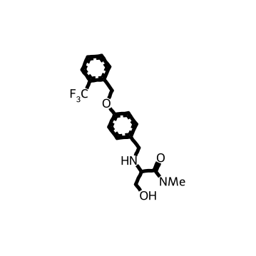 CNC(=O)C(CO)NCc1ccc(OCc2ccccc2C(F)(F)F)cc1